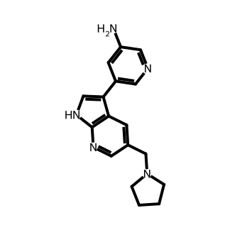 Nc1cncc(-c2c[nH]c3ncc(CN4CCCC4)cc23)c1